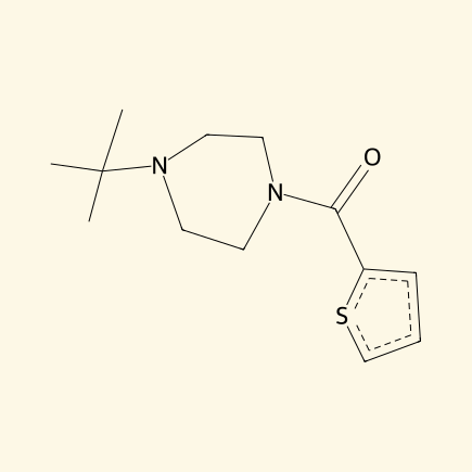 CC(C)(C)N1CCN(C(=O)c2cccs2)CC1